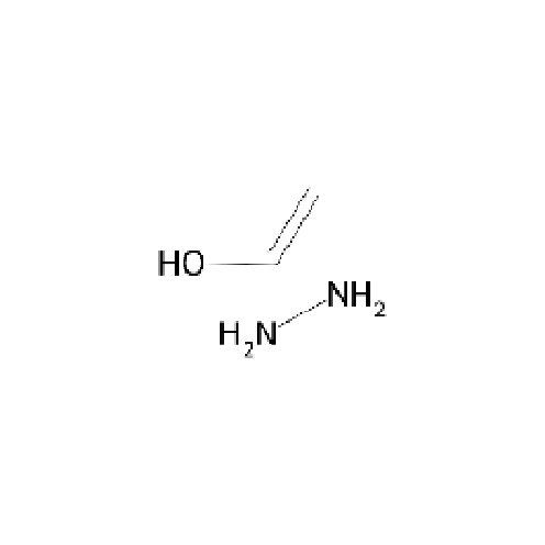 C=CO.NN